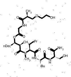 CCCCCCCCCC[C@@H](OC(=O)CNC(=O)[C@@H](C)COCCO)[C@@H](C)C(=O)N(C)[C@@H](CC(C)C)C(=O)N[C@H](C(=O)N[C@@H](CO)C(N)=O)[C@@H](C)CC